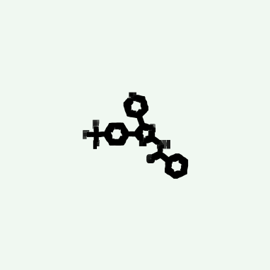 O=C(Nc1nc(-c2ccc(C(F)(F)F)cc2)c(-c2ccncc2)s1)c1ccccc1